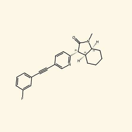 CN1C(=O)[C@@H](c2ccc(C#Cc3cccc(F)c3)cn2)[C@@H]2CCCC[C@@H]21